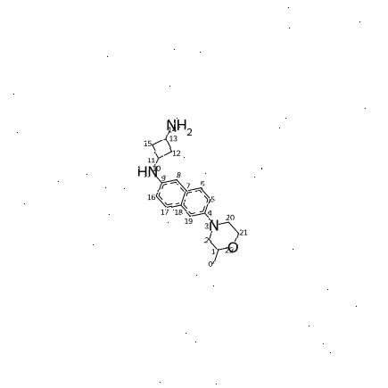 CC1CN(c2ccc3cc(NC4CC(N)C4)ccc3c2)CCO1